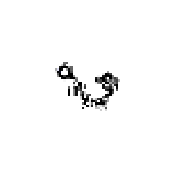 CC(C)(CCNC(=O)OCC1C2CC/C=C\CCC21)OCCC(C)(C)OCCC(=O)ON1C(=O)CCC1=O